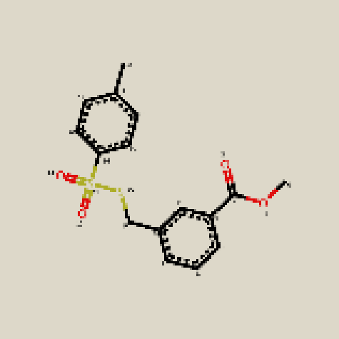 COC(=O)c1cccc(CSS(=O)(=O)c2ccc(C)cc2)c1